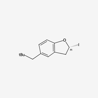 CC(C)(C)Cc1ccc2c(c1)C[C@@H](I)O2